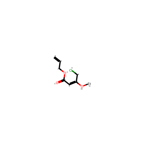 C=CCOC(=O)C=C(CCl)OCC